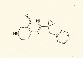 O=c1[nH]c(C2(Cc3ccccc3)CC2)nc2c1CNCC2